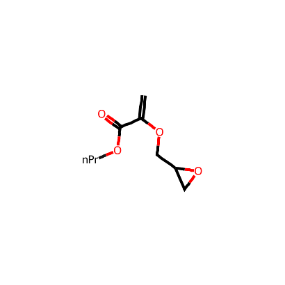 C=C(OCC1CO1)C(=O)OCCC